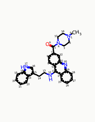 CN1CCN(C(=O)c2ccc3c(NCCc4c[nH]c5ccccc45)c4ccccc4nc3c2)CC1